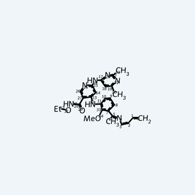 C=C/C=C\N=C(/C)c1cccc(Nc2cc(Nc3cc(C)nc(C)n3)ncc2C(=O)NOCC)c1OC